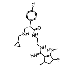 CNC1=C(C(=N)NCCNC(=O)[C@H](CNCC2CC2)c2ccc(Cl)cc2)[C@H](C)C[C@@H]1F